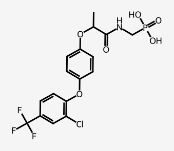 CC(Oc1ccc(Oc2ccc(C(F)(F)F)cc2Cl)cc1)C(=O)NCP(=O)(O)O